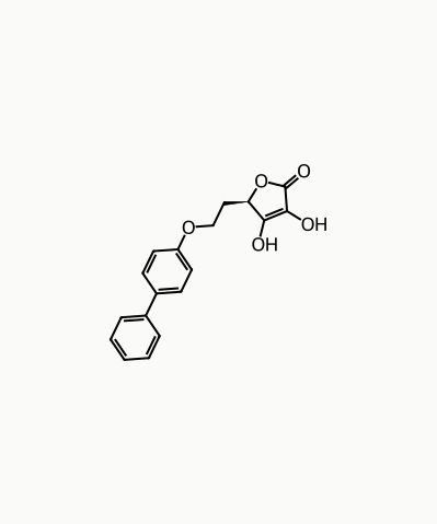 O=C1O[C@H](CCOc2ccc(-c3ccccc3)cc2)C(O)=C1O